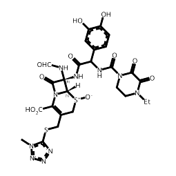 CCN1CCN(C(=O)NC(C(=O)N[C@]2(NC=O)C(=O)N3C(C(=O)O)=C(CSc4nnnn4C)C[S+]([O-])[C@H]32)c2ccc(O)c(O)c2)C(=O)C1=O